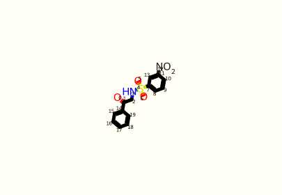 O=C(CNS(=O)(=O)c1cccc([N+](=O)[O-])c1)c1ccccc1